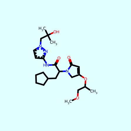 COCC(C)OC1=CC(=O)N(C(CC2CCCC2)C(=O)Nc2ccn(CC(C)(C)O)n2)C1